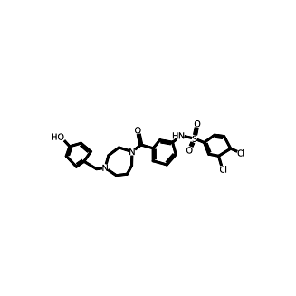 O=C(c1cccc(NS(=O)(=O)C2=CC(Cl)C(Cl)C=C2)c1)N1CCCN(Cc2ccc(O)cc2)CC1